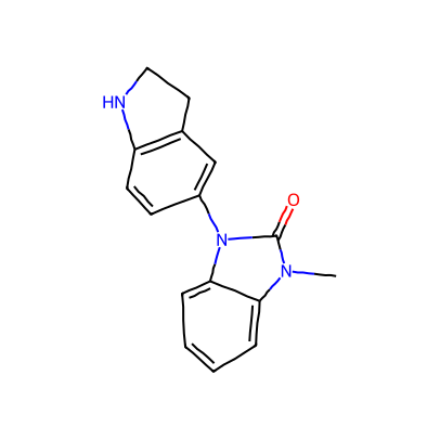 Cn1c(=O)n(-c2ccc3c(c2)CCN3)c2ccccc21